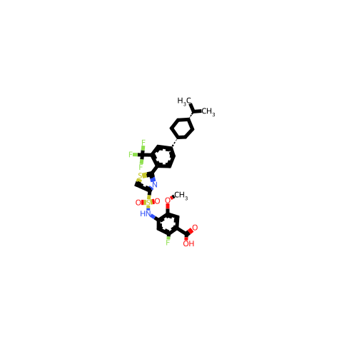 COc1cc(C(=O)O)c(F)cc1NS(=O)(=O)c1csc(-c2ccc([C@H]3CC[C@@H](C(C)C)CC3)cc2C(F)(F)F)n1